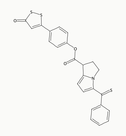 O=C(Oc1ccc(-c2cc(=O)ss2)cc1)C1CCn2c(C(=S)c3ccccc3)ccc21